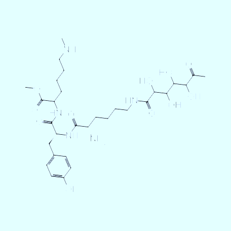 CNCCCCC(NC(=O)[C@H](Cc1ccc(O)cc1)NC(=O)[C@@H](N)CCCCNC(=O)C(O)C(O)C(O)C(O)C(C)=O)C(=O)OC